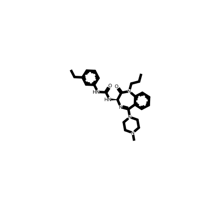 CCCN1C(=O)[C@H](NC(=O)Nc2cccc(CC)c2)N=C(N2CCN(C)CC2)c2ccccc21